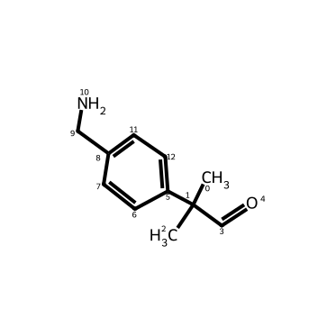 CC(C)(C=O)c1ccc(CN)cc1